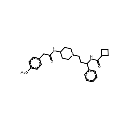 COc1ccc(CC(=O)NC2CCN(CCC(NC(=O)C3CCC3)c3ccccc3)CC2)cc1